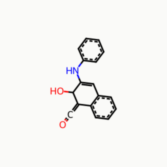 O=C=C1c2ccccc2C=C(Nc2ccccc2)C1O